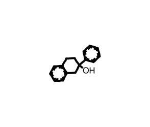 OC1(c2ccccc2)CCc2ccccc2C1